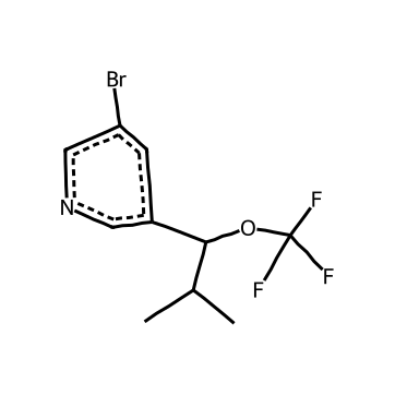 CC(C)C(OC(F)(F)F)c1cncc(Br)c1